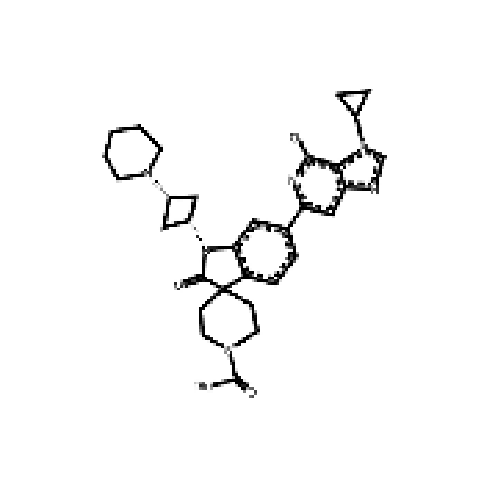 CC(C)(C)C(=O)N1CCC2(CC1)C(=O)N([C@H]1C[C@@H](N3CCCCC3)C1)c1cc(-c3cc4ncn(C5CC5)c4c(Cl)n3)ccc12